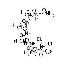 Cn1cc(NC(=O)c2cc(NC(=O)c3cc(NC(=O)c4cc(N(C(=O)c5ccccc5)N(CCCl)CCCl)nn4C)nn3C)cn2C)cc1C(=O)NCCC(N)=O